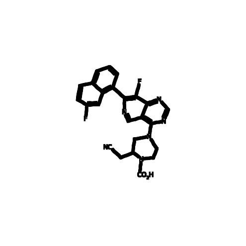 N#CCC1CN(c2ncnc3c(F)c(-c4cccc5ccc(F)cc45)ncc23)CCN1C(=O)O